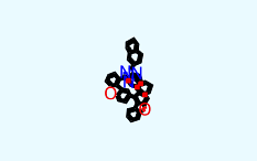 c1ccc(-c2nc(-c3ccc4ccccc4c3)nc(-c3cccc4oc5ccc(-c6c(-c7ccccc7)ccc7oc8ccccc8c67)cc5c34)n2)cc1